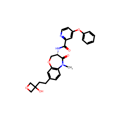 CN1C(=O)[C@@H](NC(=O)c2cc(Oc3ccccc3)ccn2)COc2cc(CCC3(O)COC3)ccc21